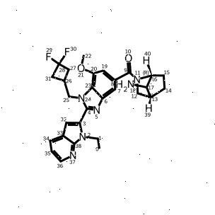 CCn1c(-c2nc3cc(C(=O)N4C[C@H]5CC[C@@H]4C5N)cc(OC)c3n2CC2CC(F)(F)C2)cc2cccnc21